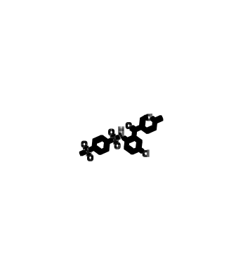 C=C(Cl)/C=C\C(=C/C)C(=O)c1cc(Cl)ccc1NS(=O)(=O)c1ccc(S(C)(=O)=O)cc1